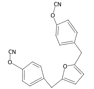 N#COc1ccc(Cc2ccc(Cc3ccc(OC#N)cc3)o2)cc1